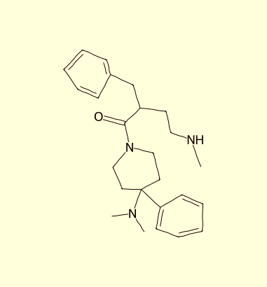 CNCCC(Cc1ccccc1)C(=O)N1CCC(c2ccccc2)(N(C)C)CC1